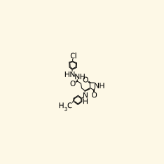 Cc1ccc(NC(CCC(=O)NNc2ccc(Cl)cc2)=C2C(=O)CNC2=O)cc1